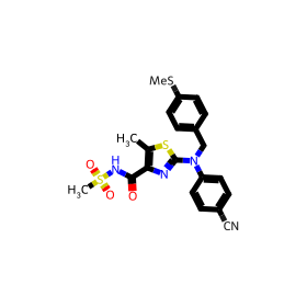 CSc1ccc(CN(c2ccc(C#N)cc2)c2nc(C(=O)NS(C)(=O)=O)c(C)s2)cc1